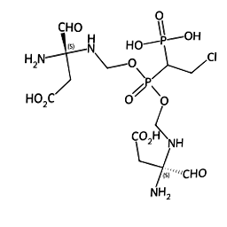 N[C@@](C=O)(CC(=O)O)NCOP(=O)(OCN[C@](N)(C=O)CC(=O)O)C(CCl)P(=O)(O)O